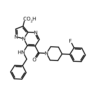 O=C(O)c1cnn2c(NCc3ccccc3)c(C(=O)N3CCC(c4ccccc4F)CC3)cnc12